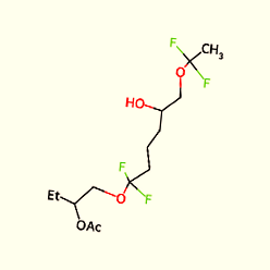 CCC(COC(F)(F)CCCC(O)COC(C)(F)F)OC(C)=O